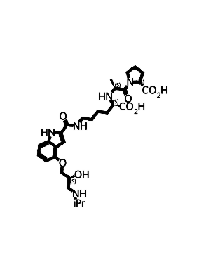 CC(C)NC[C@H](O)COc1cccc2[nH]c(C(=O)NCCCC[C@H](N[C@@H](C)C(=O)N3CCC[C@H]3C(=O)O)C(=O)O)cc12